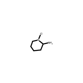 NC1CCCCN1Cl